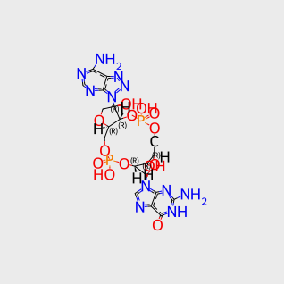 Nc1nc2c(ncn2C2O[C@@H]3COP(=O)(O)O[C@@H]4[C@@H](COP(=O)(O)O[C@@H]2[C@@H]3O)OC[C@]4(O)n2nnc3c(N)ncnc32)c(=O)[nH]1